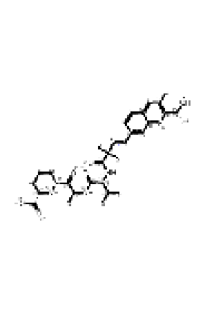 Cc1cc2ccc(/C=C/C(C)(C)C(=O)N[C@H](C(=O)NC(C)C(=O)N3CCC[C@@H](C(=O)O)N3)C(C)C)cc2nc1[C@@H](C)O